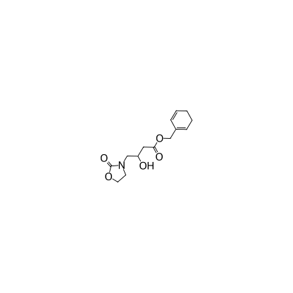 O=C(CC(O)CN1CCOC1=O)OCC1=CCCC=C1